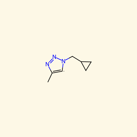 Cc1[c]n(CC2CC2)nn1